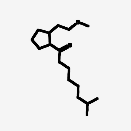 COCCC1CCCC1C(=O)CCCCCC(C)C